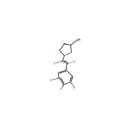 CCCC1CCC(/C(F)=C(\F)c2cc(F)c(F)c(F)c2)C1